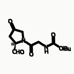 CC(C)COC(=O)NCC(=O)N1CC(=O)C[C@H]1C=O